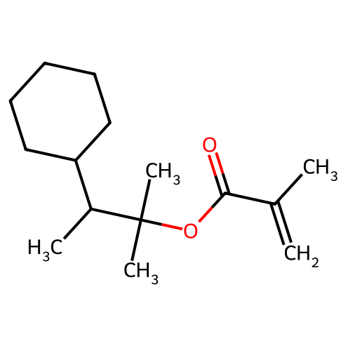 C=C(C)C(=O)OC(C)(C)C(C)C1CCCCC1